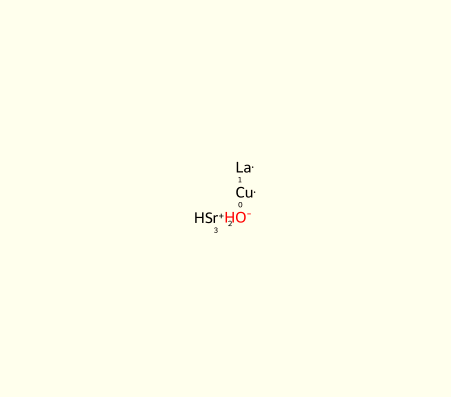 [Cu].[La].[OH-].[SrH+]